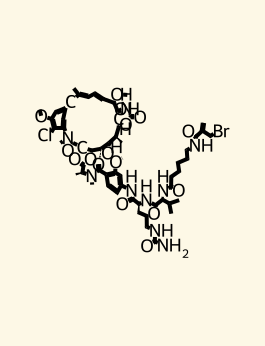 C=C(CBr)C(=O)NCCCCCC(=O)N[C@H](C(=O)N[C@@H](CCCNC(N)=O)C(=O)Nc1ccc(C(=O)N(C)[C@@H](C)C(=O)O[C@H]2CC(=O)N(C)c3cc(cc(OC)c3Cl)C/C(C)=C/C=C/[C@@H](OC)[C@@]3(O)C[C@H](OC(=O)N3)[C@@H](C)[C@@H]3O[C@@]23C)c(OC)c1)C(C)C